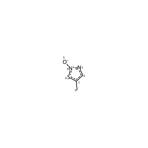 Cc1cn[n+]([O-])s1